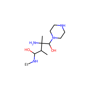 CCNC(O)C(C)C(C)(N)C(O)N1CCNCC1